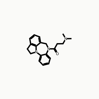 CN(C)CCC(=O)N1Cc2cccc3c2N(CC3)c2ccccc21